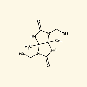 CC12NC(=O)N(CS)C1(C)NC(=O)N2CS